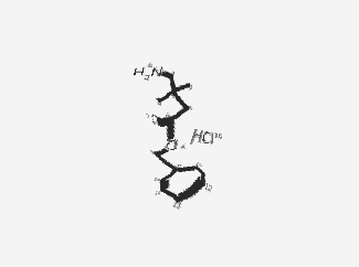 CC(C)(CN)CC(=O)OCc1ccccc1.Cl